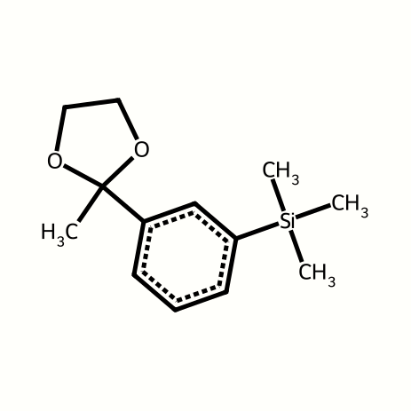 CC1(c2cccc([Si](C)(C)C)c2)OCCO1